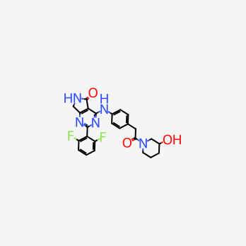 O=C1NCc2nc(-c3c(F)cccc3F)nc(Nc3ccc(CC(=O)N4CCCC(O)C4)cc3)c21